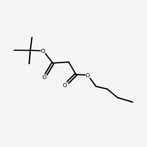 CCCCOC(=O)CC(=O)OC(C)(C)C